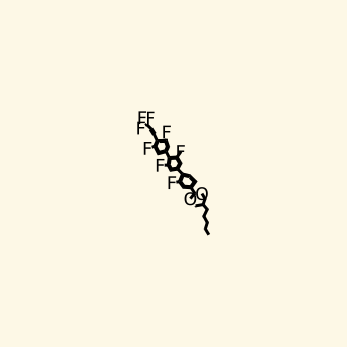 CCCCCC1COC(c2ccc(-c3cc(F)c(-c4cc(F)c(C#CC(F)(F)F)c(F)c4)c(F)c3)c(F)c2)OC1